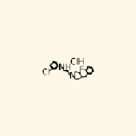 Cl.Fc1ccccc1CC1CCN(CCCNc2cccc(Cl)c2)CC1